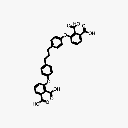 O=C(O)c1cccc(Oc2ccc(CCCc3ccc(Oc4cccc(C(=O)O)c4C(=O)O)cc3)cc2)c1C(=O)O